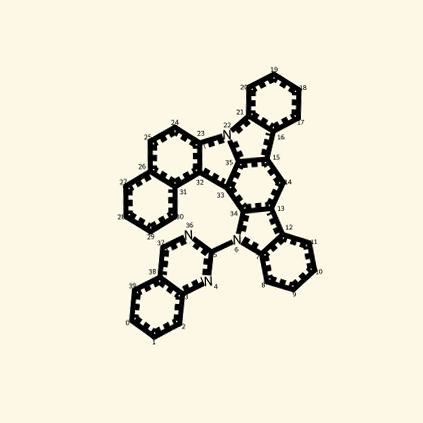 c1ccc2nc(-n3c4ccccc4c4cc5c6ccccc6n6c7ccc8ccccc8c7c(c43)c56)ncc2c1